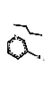 CCCC.Nc1cccnc1